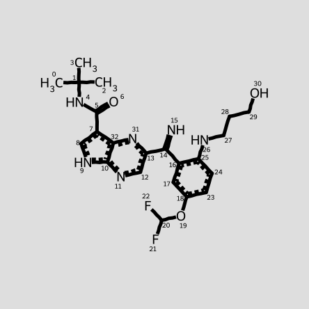 CC(C)(C)NC(=O)c1c[nH]c2ncc(C(=N)c3cc(OC(F)F)ccc3NCCCO)nc12